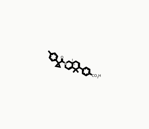 Cc1ccc(C2(C(=O)N3CC=C4C(C)(C)C(c5ccc(C(=O)O)cc5)=CC[C@]4(C)C3)CC2)cc1